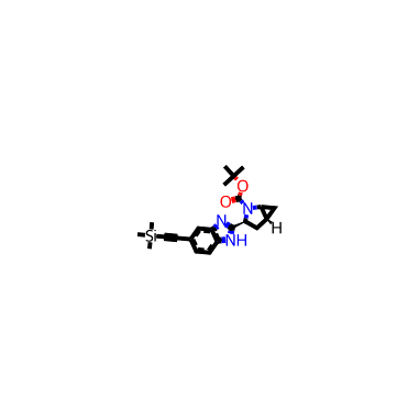 CC(C)(C)OC(=O)N1C2C[C@@H]2C[C@H]1c1nc2cc(C#C[Si](C)(C)C)ccc2[nH]1